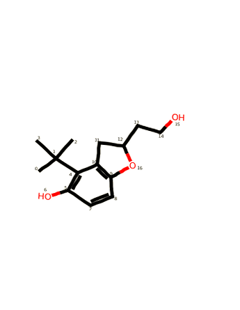 CC(C)(C)c1c(O)ccc2c1CC(CCO)O2